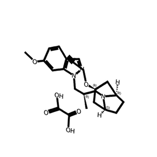 C#CCO[C@H]1C[C@H]2CC[C@@H](C1)N2C[C@@H](C)Cn1ncc2ccc(OC)cc21.O=C(O)C(=O)O